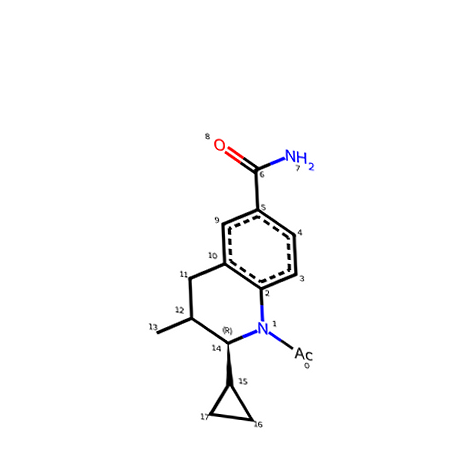 CC(=O)N1c2ccc(C(N)=O)cc2CC(C)[C@@H]1C1CC1